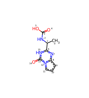 CC(NC(=O)O)c1nc2cccn2c(=O)[nH]1